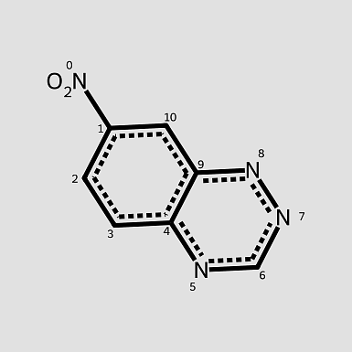 O=[N+]([O-])c1ccc2ncnnc2c1